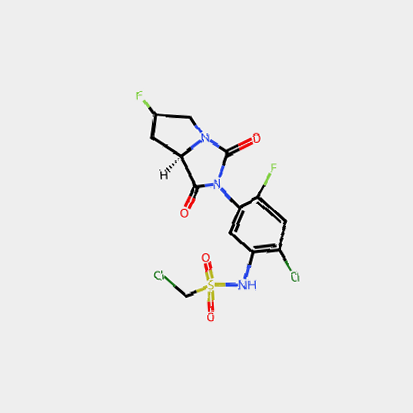 O=C1[C@H]2CC(F)CN2C(=O)N1c1cc(NS(=O)(=O)CCl)c(Cl)cc1F